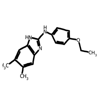 CCOc1ccc(Nc2nc3cc(C)c(C)cc3[nH]2)cc1